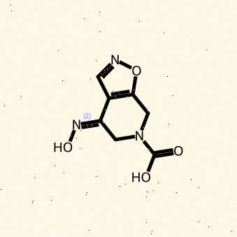 O=C(O)N1C/C(=N\O)c2cnoc2C1